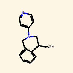 CC1CN(c2ccncc2)Cc2ccccc21